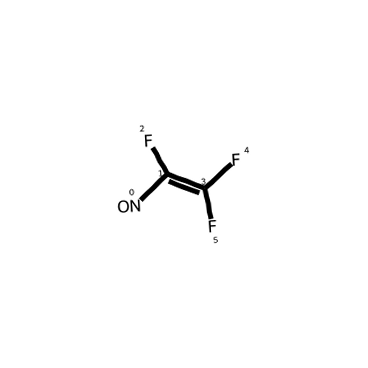 O=NC(F)=C(F)F